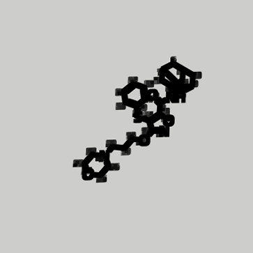 O=C(NC12CC3CC(CC(C3)C1)C2)c1onc(OCCCN2CCOCC2)c1Sc1ccccc1